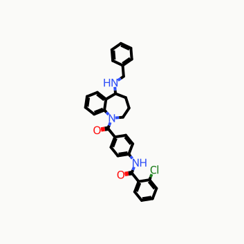 O=C(Nc1ccc(C(=O)N2CCCC(NCc3ccccc3)c3ccccc32)cc1)c1ccccc1Cl